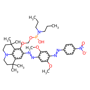 CCCN(CCC)P(O)OCOc1c(N=Nc2cc(OC)c(N=Nc3ccc([N+](=O)[O-])cc3)cc2OC)cc2c3c1C(C)(C)CCN3CCC2(C)C